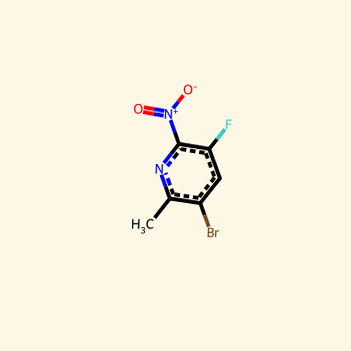 Cc1nc([N+](=O)[O-])c(F)cc1Br